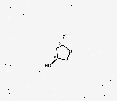 CC[C@H]1C[C@H](O)CO1